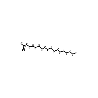 CCCCCCCCCCCCCCCCCC(C)Cl